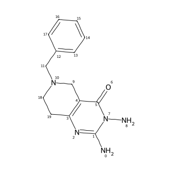 Nc1nc2c(c(=O)n1N)CN(Cc1ccccc1)CC2